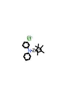 CC1=C(C)C(C)(C)[C]([Zr+2][N](c2ccccc2)c2ccccc2)=C1C.[Cl-].[Cl-]